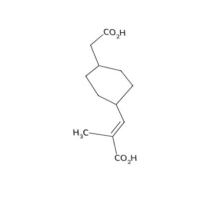 CC(=CC1CCC(CC(=O)O)CC1)C(=O)O